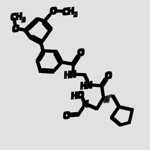 COc1cc(OC)cc(-c2cccc(C(=O)NCNC(=O)[C@H](CC3CCCC3)CN(O)C=O)c2)c1